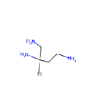 CCC(N)(CN)CCN